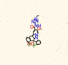 CCc1c(C(O)(c2ccccc2F)c2ccccc2F)nn2cc(OC)c(C(=O)Nc3ncn(CC)n3)cc12